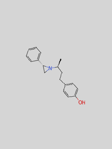 C[C@@H](CCc1ccc(O)cc1)N1C[C@@H]1c1ccccc1